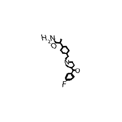 CC(C(N)=O)C1CCC(CCN2CCC(C(=O)c3ccc(F)cc3)CC2)CC1